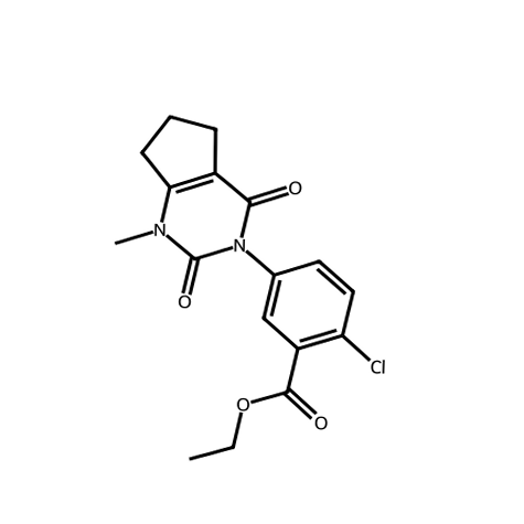 CCOC(=O)c1cc(-n2c(=O)c3c(n(C)c2=O)CCC3)ccc1Cl